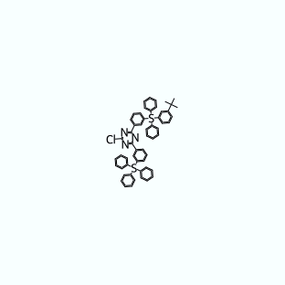 CC(C)(C)c1cccc(S(c2ccccc2)(c2ccccc2)c2cccc(-c3nc(Cl)nc(-c4cccc(S(c5ccccc5)(c5ccccc5)c5ccccc5)c4)n3)c2)c1